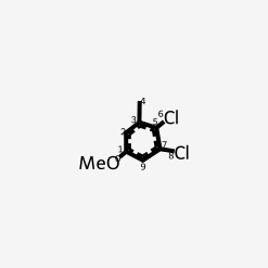 COc1cc(C)c(Cl)c(Cl)c1